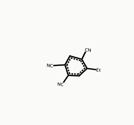 CCc1cc(C#N)c(C#N)cc1C#N